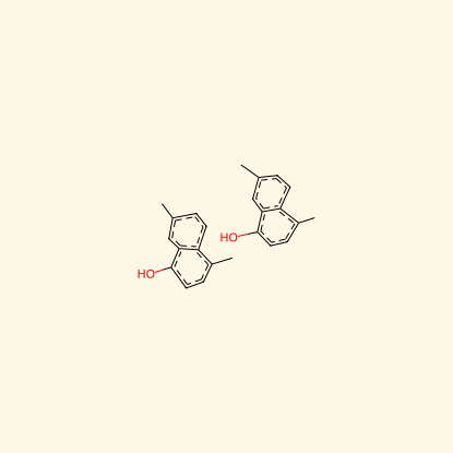 Cc1ccc2c(C)ccc(O)c2c1.Cc1ccc2c(C)ccc(O)c2c1